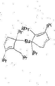 CC(C)C1=C(C(C)C)[C]([Ba][C]2(C(C)C)C=CC(C(C)C)=C2C(C)C)(C(C)C)C=C1